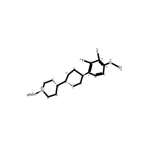 CCCCC[Si@H]1CC[C@H]([C@H]2CC[C@H](c3ccc(OCC)c(F)c3F)CC2)CC1